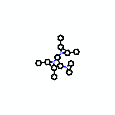 c1ccc(-c2ccc3c(c2)c2cc(-c4ccccc4)ccc2n3-c2ccc(-n3c4ccc(-c5ccccc5)cc4c4cc(-c5ccccc5)ccc43)c(-c3cccc(-n4c5ccccc5c5ccccc54)c3)c2)cc1